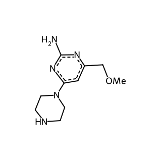 COCc1cc(N2CCNCC2)nc(N)n1